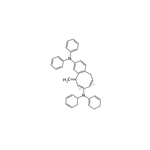 C=C1/C=C(N(C2=CCCC=C2)C2C=CC=CC2)\C=C/Cc2ccc(N(c3ccccc3)c3ccccc3)cc21